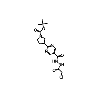 CC(C)(C)OC(=O)N1CCC(c2ncc(C(=O)NNC(=O)CCl)cn2)C1